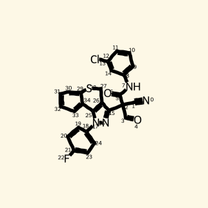 N#CC(C=O)(C(=O)Nc1cccc(Cl)c1)c1nn(-c2ccc(F)cc2)c2c1CSc1ccccc1-2